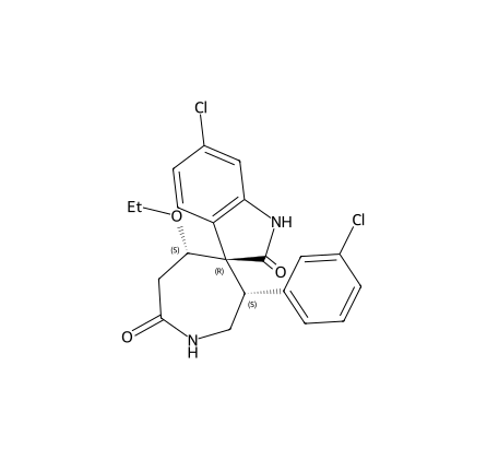 CCO[C@H]1CC(=O)NC[C@@H](c2cccc(Cl)c2)[C@]12C(=O)Nc1cc(Cl)ccc12